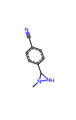 CN1NC1c1ccc(C#N)cc1